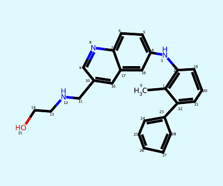 Cc1c(Nc2ccc3ncc(CNCCO)cc3c2)cccc1-c1ccccc1